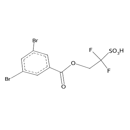 O=C(OCC(F)(F)S(=O)(=O)O)c1cc(Br)cc(Br)c1